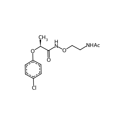 CC(=O)NCCONC(=O)[C@H](C)Oc1ccc(Cl)cc1